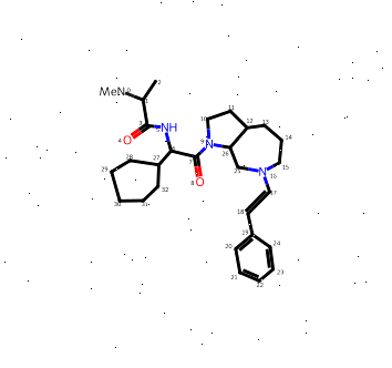 CNC(C)C(=O)NC(C(=O)N1CCC2CCCN(C=Cc3ccccc3)CC21)C1CCCCC1